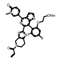 C=CC(=O)N1CCc2nc(-c3nc(-c4ccc(=O)n(C)c4)c4ccsc4c3-c3c(F)cc(F)cc3OCCOC)sc2C1